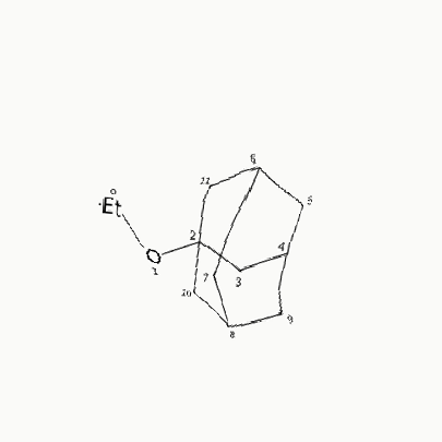 C[CH]OC12CC3CC(CC(C3)C1)C2